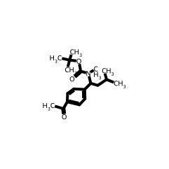 CC(=O)c1ccc(C(CC(C)C)N(C)C(=O)OC(C)(C)C)cc1